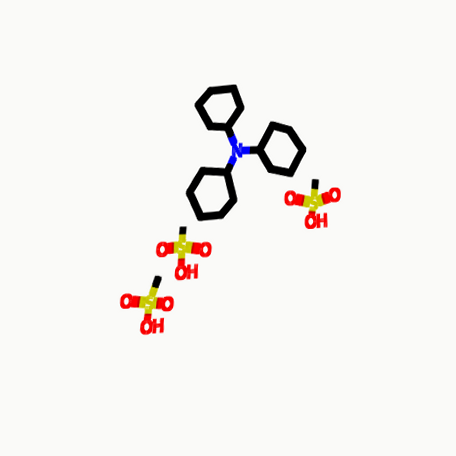 C1CCC(N(C2CCCCC2)C2CCCCC2)CC1.CS(=O)(=O)O.CS(=O)(=O)O.CS(=O)(=O)O